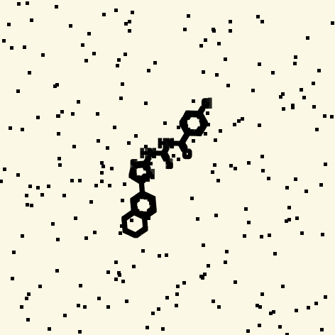 O=C(NC(=S)Nc1nc(-c2ccc3c(c2)CCCC3)cs1)c1ccc(Cl)cc1